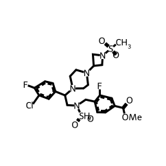 COC(=O)c1ccc(CN(CC(c2ccc(F)c(Cl)c2)N2CCN(C3CN(S(C)(=O)=O)C3)CC2)[SH](=O)=O)c(F)c1